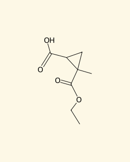 CCOC(=O)C1(C)CC1C(=O)O